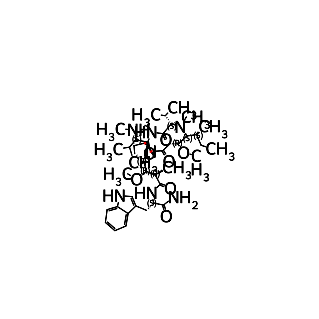 CC[C@H](C)[C@@H]([C@@H](CC(=O)N1CCC[C@H]1[C@H](OC)[C@@H](C)C(=O)N[C@@H](Cc1c[nH]c2ccccc12)C(N)=O)OC)N(C)[C@H](C(=O)NC(=O)[C@@H](NC)C(C)C)C(C)C